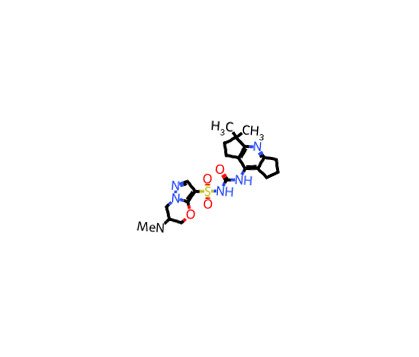 CNC1COc2c(S(=O)(=O)NC(=O)Nc3c4c(nc5c3CCC5(C)C)CCC4)cnn2C1